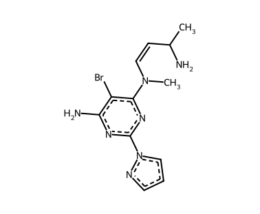 CC(N)/C=C\N(C)c1nc(-n2cccn2)nc(N)c1Br